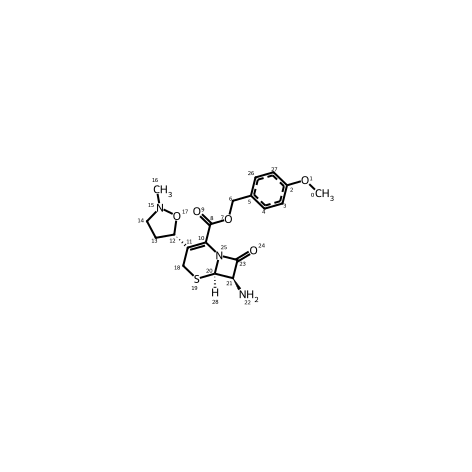 COc1ccc(COC(=O)C2=C([C@@H]3CCN(C)O3)CS[C@@H]3[C@H](N)C(=O)N23)cc1